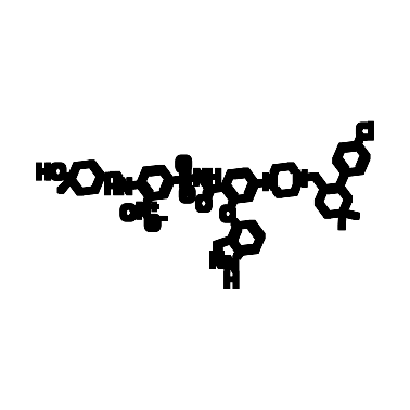 CC1(C)CCC(CN2CCN(c3ccc(C(=O)NS(=O)(=O)c4ccc(NC[C@H]5CC[C@@](C)(O)CC5)c([N+](=O)[O-])c4)c(Oc4cccc5[nH]ncc45)c3)CC2)=C(c2ccc(Cl)cc2)C1